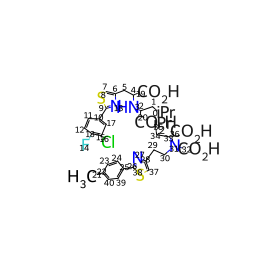 CC(C)CC(NC(Cc1csc(-c2ccc(F)c(Cl)c2)n1)C(=O)O)C(=O)O.Cc1ccc(-c2nc(CCN(C(=O)O)C(CC(C)C)C(=O)O)cs2)cc1